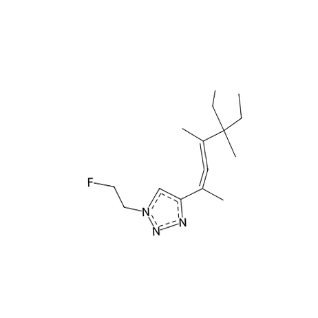 CCC(C)(CC)C(C)=C=C(C)c1cn(CCF)nn1